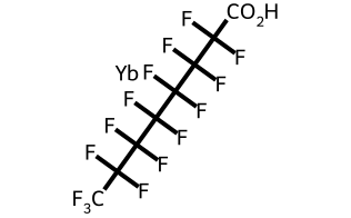 O=C(O)C(F)(F)C(F)(F)C(F)(F)C(F)(F)C(F)(F)C(F)(F)C(F)(F)F.[Yb]